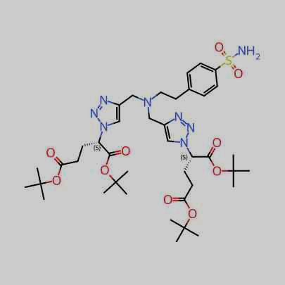 CC(C)(C)OC(=O)CC[C@@H](C(=O)OC(C)(C)C)n1cc(CN(CCc2ccc(S(N)(=O)=O)cc2)Cc2cn([C@@H](CCC(=O)OC(C)(C)C)C(=O)OC(C)(C)C)nn2)nn1